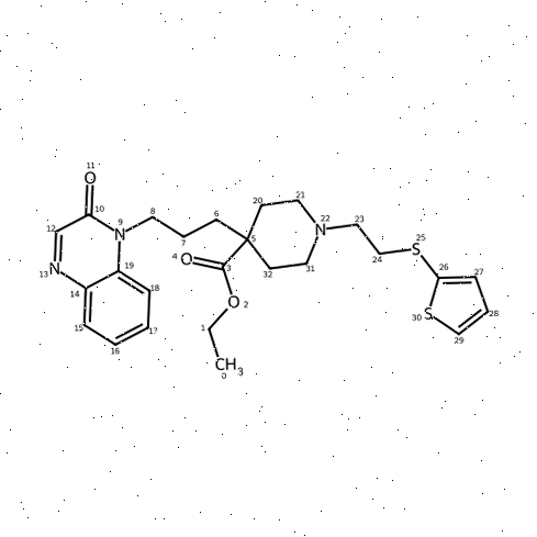 CCOC(=O)C1(CCCn2c(=O)cnc3ccccc32)CCN(CCSc2cccs2)CC1